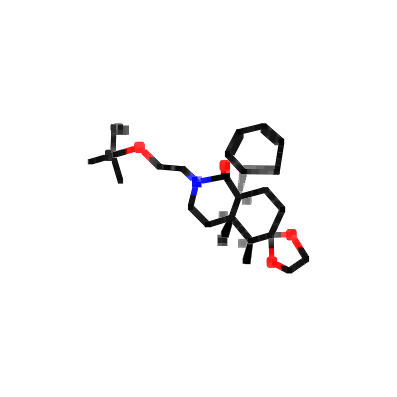 C[C@H]1[C@@H]2CCN(CCO[Si](C)(C)C(C)(C)C)C(=O)[C@@]2(c2ccccc2)CCC12OCCO2